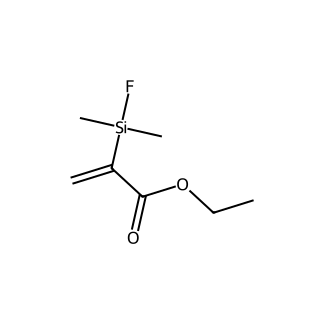 C=C(C(=O)OCC)[Si](C)(C)F